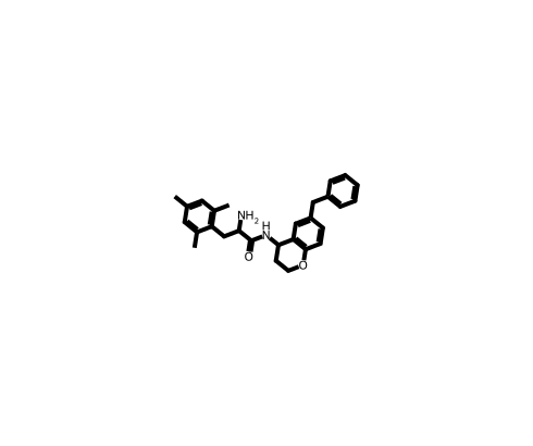 Cc1cc(C)c(CC(N)C(=O)NC2CCOc3ccc(Cc4ccccc4)cc32)c(C)c1